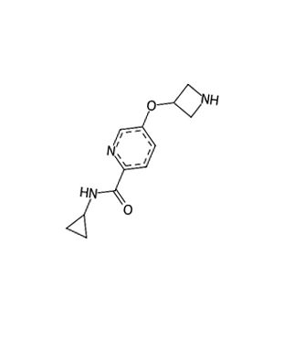 O=C(NC1CC1)c1ccc(OC2CNC2)cn1